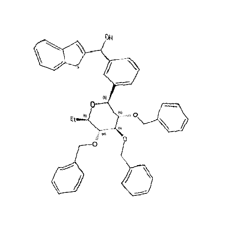 CC[C@H]1O[C@@H](c2cccc(C(O)c3cc4ccccc4s3)c2)[C@H](OCc2ccccc2)[C@@H](OCc2ccccc2)[C@@H]1OCc1ccccc1